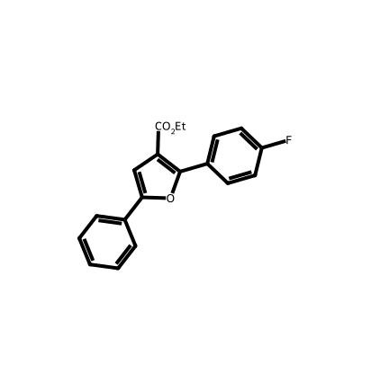 CCOC(=O)c1cc(-c2ccccc2)oc1-c1ccc(F)cc1